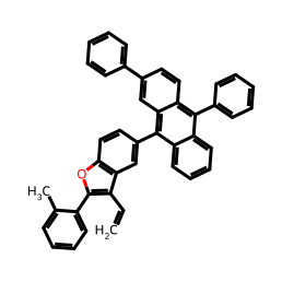 C=Cc1c(-c2ccccc2C)oc2ccc(-c3c4ccccc4c(-c4ccccc4)c4ccc(-c5ccccc5)cc34)cc12